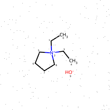 CC[N+]1(CC)CCCC1.[OH-]